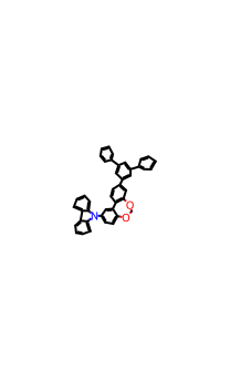 c1ccc(-c2cc(-c3ccccc3)cc(-c3ccc4c(c3)OCOc3ccc(-n5c6ccccc6c6ccccc65)cc3-4)c2)cc1